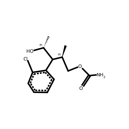 C[C@@H](O)C(c1ccccc1Cl)[C@@H](C)COC(N)=O